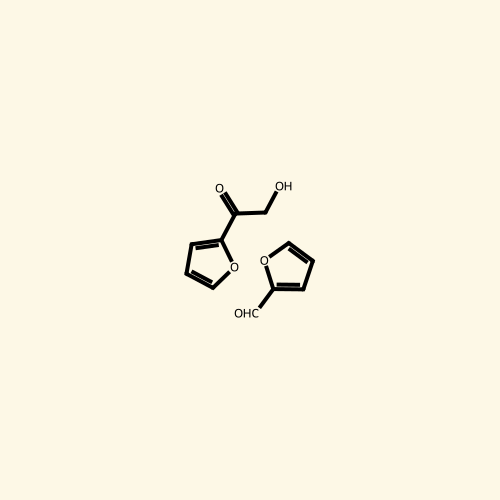 O=C(CO)c1ccco1.O=Cc1ccco1